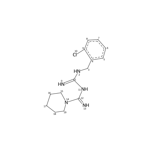 N=C(NCc1ccccc1Cl)NC(=N)N1CCCCC1